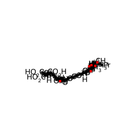 CC(C)CCC[C@@H](C)[C@H]1CC[C@H]2[C@@H]3CC=C4CC(OC(=O)NCCCOCCOCCOCCNC(=O)c5ccc(C(=O)NCCCC[C@H](NC(=O)N[C@@H](CCC(=O)O)C(=O)O)C(=O)O)cc5)CC[C@]4(C)[C@H]3CC[C@]12C